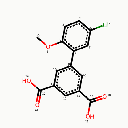 COc1ccc(Cl)cc1-c1cc(C(=O)O)cc(C(=O)O)c1